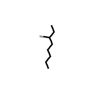 CCCCC[CH]([Na])CC